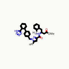 CCCc1cc(C(=O)NC(CC(=O)OC)Cc2ccccc2C)nn1Cc1ccc(-c2ccccc2-c2nnn[nH]2)cc1